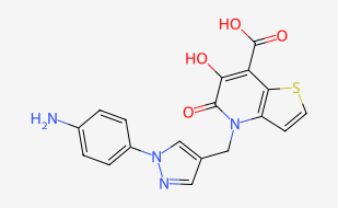 Nc1ccc(-n2cc(Cn3c(=O)c(O)c(C(=O)O)c4sccc43)cn2)cc1